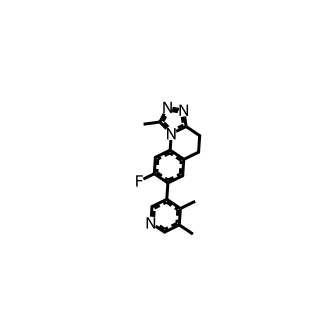 Cc1cncc(-c2cc3c(cc2F)-n2c(C)nnc2CC3)c1C